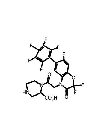 O=C(O)C1CNCCN1C(=O)CN1C(=O)C(F)(F)Oc2cc(F)c(-c3c(F)c(F)c(F)c(F)c3F)cc21